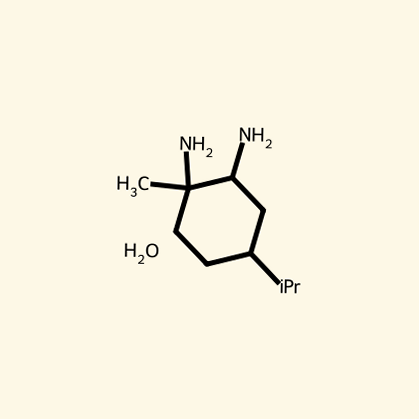 CC(C)C1CCC(C)(N)C(N)C1.O